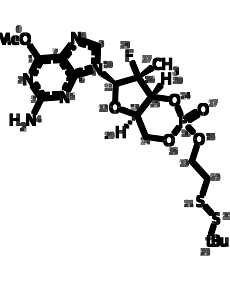 COc1nc(N)nc2c1ncn2[C@@H]1O[C@@H]2COP(=O)(OCCSSC(C)(C)C)O[C@H]2[C@@]1(C)F